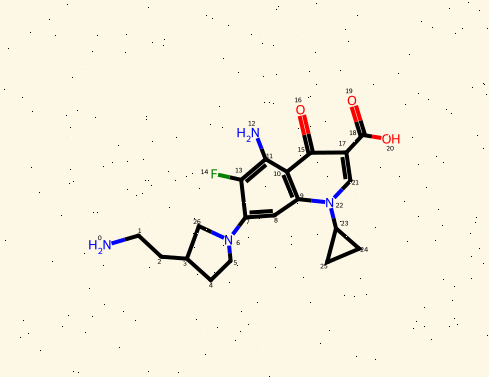 NCCC1CCN(c2cc3c(c(N)c2F)c(=O)c(C(=O)O)cn3C2CC2)C1